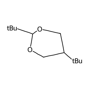 CC(C)(C)C1COC(C(C)(C)C)OC1